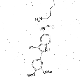 COc1ccc(-c2[nH]c3ccc(NC(=O)C(N)CCCCN)cc3c2C(C)C)cc1OC